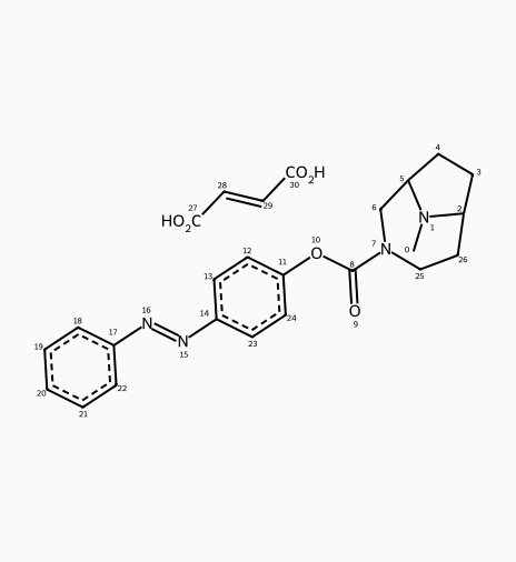 CN1C2CCC1CN(C(=O)Oc1ccc(N=Nc3ccccc3)cc1)CC2.O=C(O)/C=C/C(=O)O